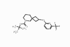 CC(C)(C)OC(=O)N1CCCC2(CC(Oc3cccc(C(F)(F)F)n3)C2)C1